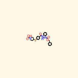 O=C(Nc1ccccc1NC(=O)c1ccc(SC2CCN(C(=O)O)CC2)cc1)OCc1ccccc1